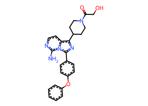 Nc1nccc2c(C3CCN(C(=O)CO)CC3)nc(-c3ccc(Oc4ccccc4)cc3)n12